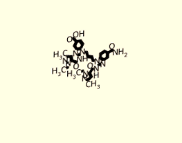 CCn1nc(C)cc1C(=O)Nc1nc2cc(C(N)=O)ccc2n1CC=CCn1c(NC(=O)c2cc(C)nn2CC)nc2cc(C(=O)O)ccc21